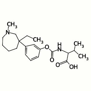 CCC1(c2cccc(OC(=O)NC(C(=O)O)C(C)C)c2)CCCCN(C)C1